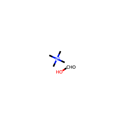 C[N+](C)(C)C.O=[C-]O